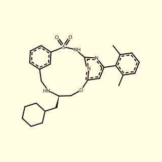 Cc1cccc(C)c1-c1cc2nc(n1)NS(=O)(=O)c1cccc(c1)CN[C@H](CC1CCCCC1)CO2